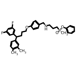 Cc1ccc(C(CCCOc2ccc(CNCCCP(C)(=O)Oc3ccccc3)cc2)c2cc(F)cc(F)c2)cc1C